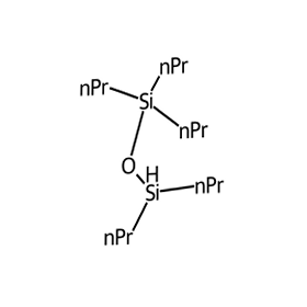 CCC[SiH](CCC)O[Si](CCC)(CCC)CCC